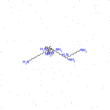 CC(CC(N)C(N)CCCCCCCC(CN)C(N)CCCCCCCCN)CC(C)(C)C(N)C(N)CCCCCCCCCCCN